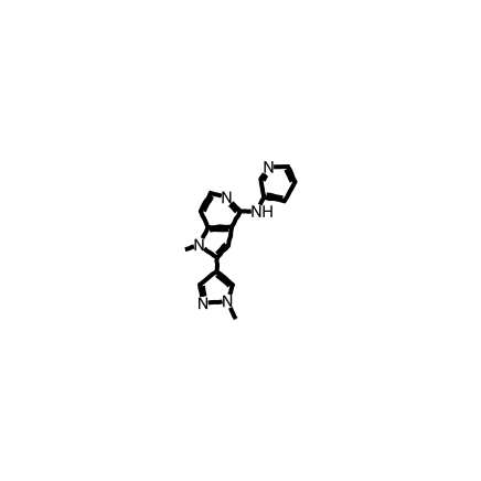 Cn1cc(-c2cc3c(Nc4cccnc4)nccc3n2C)cn1